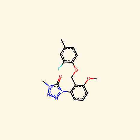 COc1cccc(-n2nnn(C)c2=O)c1COc1ccc(C)cc1F